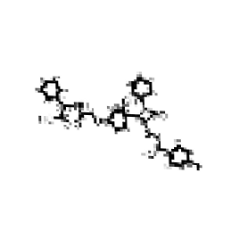 O=C(COc1ccc([C@@H]2[C@@H](SC[C@H](O)c3ccc(F)cc3)C(=O)N2c2ccccc2)c(O)c1)N[C@@H](C(=O)O)c1ccccc1